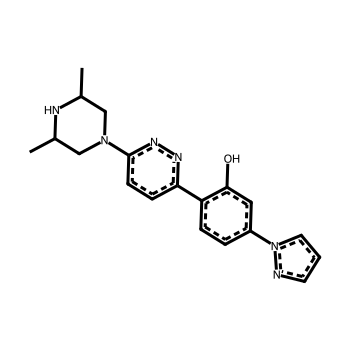 CC1CN(c2ccc(-c3ccc(-n4cccn4)cc3O)nn2)CC(C)N1